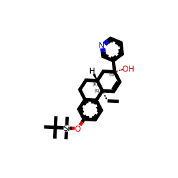 CC[C@@]12C=C[C@](O)(c3cccnc3)C[C@H]1CCc1cc(O[Si](C)(C)C(C)(C)C)ccc12